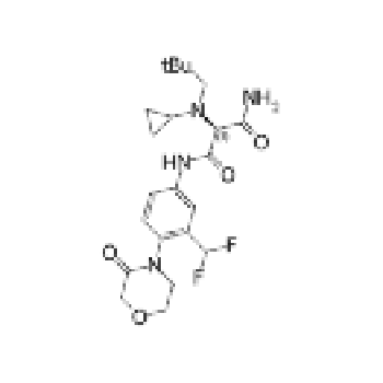 CC(C)(C)CN(C1CC1)[C@@H](C(N)=O)C(=O)Nc1ccc(N2CCOCC2=O)c(C(F)F)c1